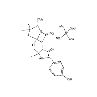 CC1(C)S[C@@H]2C(N3C(=O)C(c4ccc(O)cc4)NC3(C)C)C(=O)N2[C@H]1C(=O)[O-].CCCC[N+](CCCC)(CCCC)CCCC